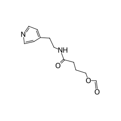 O=COCCCC(=O)NCCc1ccncc1